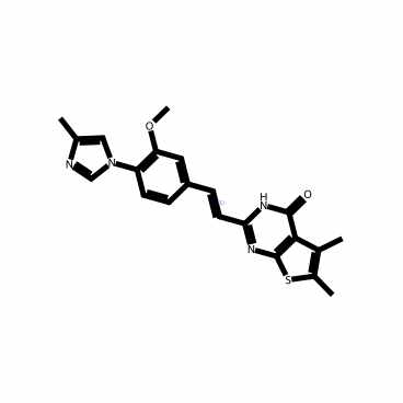 COc1cc(/C=C/c2nc3sc(C)c(C)c3c(=O)[nH]2)ccc1-n1cnc(C)c1